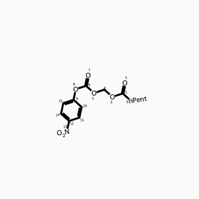 CCCCCC(=O)OCOC(=O)Oc1ccc([N+](=O)[O-])cc1